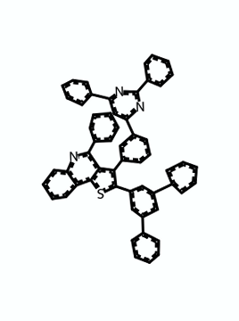 c1ccc(-c2cc(-c3ccccc3)cc(-c3sc4c(c(-c5ccccc5)nc5ccccc54)c3-c3cccc(-c4cc(-c5ccccc5)nc(-c5ccccc5)n4)c3)c2)cc1